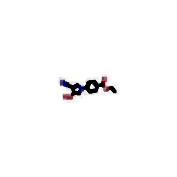 CCOC(=O)c1ccc(-n2cc(O)c(C#N)c2)cc1